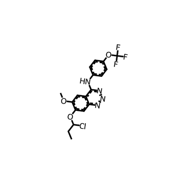 CCC(Cl)Oc1cc2nnnc(Nc3ccc(OC(F)(F)F)cc3)c2cc1OC